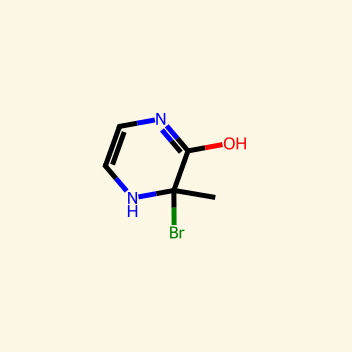 CC1(Br)NC=CN=C1O